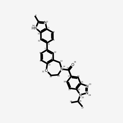 Cc1nc2ccc(-c3ccc4c(c3)CN(C(=O)c3ccc5c(c3)nnn5C(C)C)CCO4)cc2[nH]1